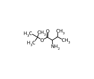 C[C](C)C(N)C(=O)OC(C)(C)C